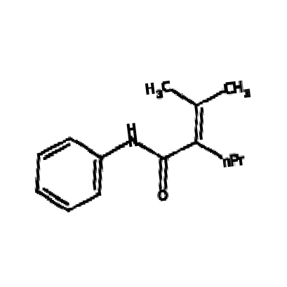 CCCC(C(=O)Nc1ccccc1)=C(C)C